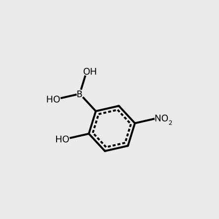 O=[N+]([O-])c1ccc(O)c(B(O)O)c1